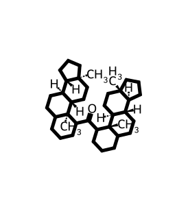 C[C@@]12CCC[C@H]1[C@@H]1CCC3CCCC(C(=O)C4CCCC5CC[C@H]6[C@@H]7CCC[C@@]7(C)CC[C@@H]6[C@]54C)[C@]3(C)[C@H]1CC2